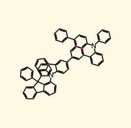 c1ccc(-c2ccc(N(c3ccccc3)c3ccccc3-c3cccc(-c4ccc5c(c4)c4ccccc4n5-c4cccc5c4C(c4ccccc4)(c4ccccc4)c4ccccc4-5)c3)cc2)cc1